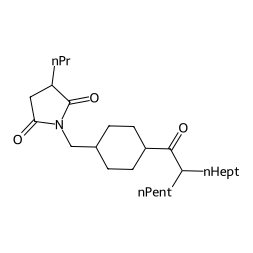 CCCCCCCC(CCCCC)C(=O)C1CCC(CN2C(=O)CC(CCC)C2=O)CC1